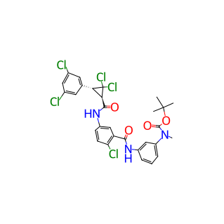 CN(C(=O)OC(C)(C)C)c1cccc(NC(=O)c2cc(NC(=O)[C@H]3[C@H](c4cc(Cl)cc(Cl)c4)C3(Cl)Cl)ccc2Cl)c1